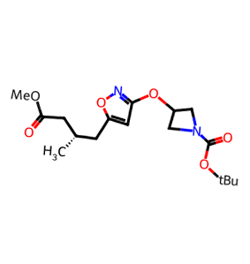 COC(=O)C[C@@H](C)Cc1cc(OC2CN(C(=O)OC(C)(C)C)C2)no1